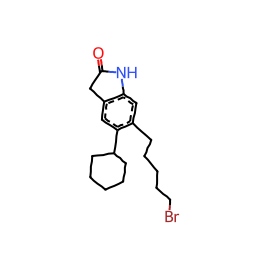 O=C1Cc2cc(C3CCCCC3)c(CCCCCBr)cc2N1